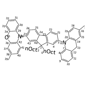 CCCCCCCCC1(CCCCCCCC)c2cc(N3c4ccccc4Cc4cc(C)ccc43)ccc2-c2ccc(N3c4ccccc4Oc4cc(C)ccc43)cc21